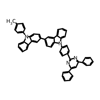 Cc1ccc(-n2c3ccccc3c3cc(-c4ccc5c(c4)c4ccccc4n5-c4ccc(-c5nc(-c6ccccc6)cc(-c6ccccc6)n5)cc4)ccc32)cc1